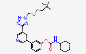 C[Si](C)(C)CCOCn1nnc(-c2cncc(-c3cccc(OC(=O)NC4CCCCC4)c3)c2)n1